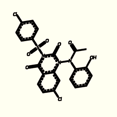 CC(=O)N(c1ccccc1O)n1c(=O)n(S(=O)(=O)c2ccc(Cl)cc2)c(=O)c2ccc(Cl)cc21